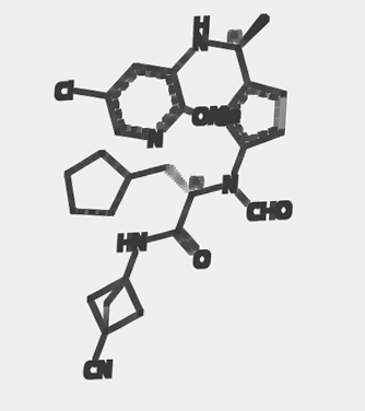 COc1ncc(Cl)cc1N[C@@H](C)c1ccc(N(C=O)[C@@H](CC2CCCC2)C(=O)NC23CC(C#N)(C2)C3)s1